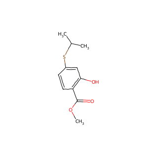 COC(=O)c1ccc(SC(C)C)cc1O